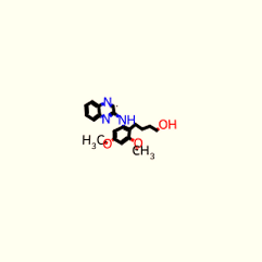 COc1cc(Nc2[c]nc3ccccc3n2)c(CCCCO)c(OC)c1